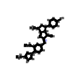 COc1cc(/C=C2\N=C3N(C)CC(c4ccc(F)cc4)N3C2=O)ccc1-n1cnc(C)c1